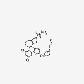 NNC(=S)c1ccc2c(c1)CCCC(c1ccc(Cl)cc1Cl)=C2c1ccc(O[C@H]2CCN(CCCF)C2)cc1